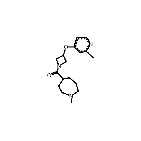 Cc1cc(OC2CN(C(=O)C3CCCN(C)CC3)C2)ccn1